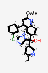 COc1cc(-c2cccc(Cl)c2)c2cc(C(O)(c3ccc(C)nc3)c3cncn3C)ccc2n1